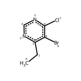 CCc1ncnc(Cl)c1Br